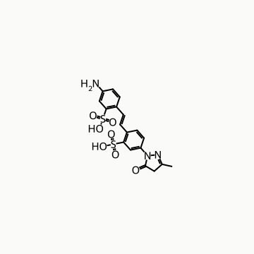 CC1=NN(c2ccc(C=Cc3ccc(N)cc3S(=O)(=O)O)c(S(=O)(=O)O)c2)C(=O)C1